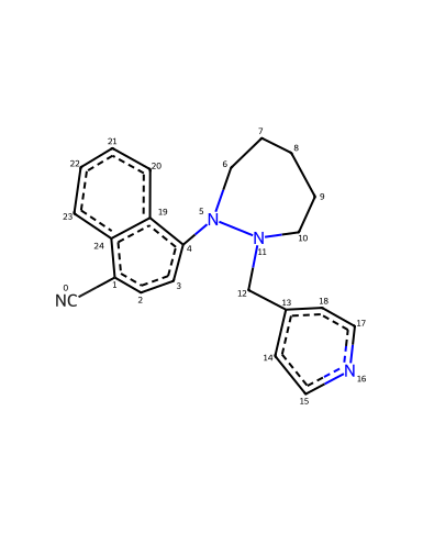 N#Cc1ccc(N2CCCCCN2Cc2ccncc2)c2ccccc12